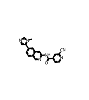 Cn1cncc1-c1ccc2cnc(NC(=O)c3ccnc(C#N)c3)cc2c1